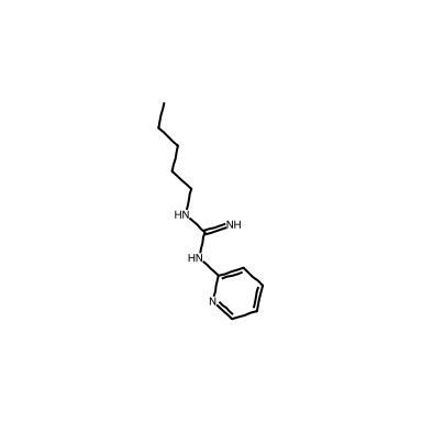 CCCCCNC(=N)Nc1ccccn1